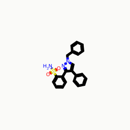 NS(=O)(=O)c1ccccc1-c1nn(Cc2ccccc2)cc1-c1ccccc1